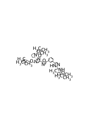 C[C@H](NC(=O)OC(C)(C)C)c1ncc(-c2cccc(-c3cnc(-c4cn(COCC[Si](C)(C)C)c([C@@H]5CCCN5C(=O)OC(C)(C)C)n4)o3)c2)[nH]1